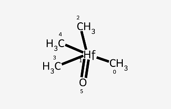 [CH3][Hf]([CH3])([CH3])([CH3])=[O]